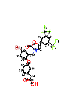 C[C@@H]1[C@H](c2cc(C(F)F)cc(C(F)(F)F)c2)OC(=O)N1Cc1cc(Br)ccc1Oc1cccc(CC(=O)O)c1